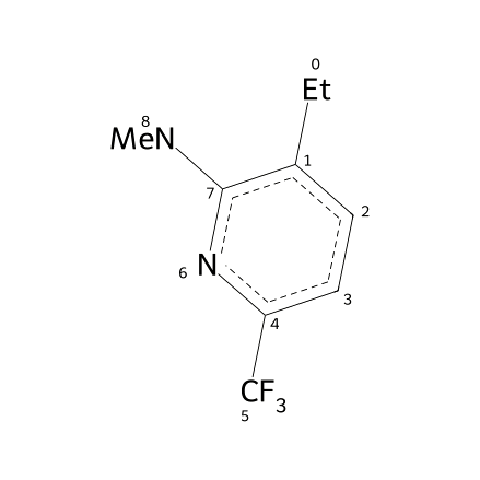 CCc1ccc(C(F)(F)F)nc1NC